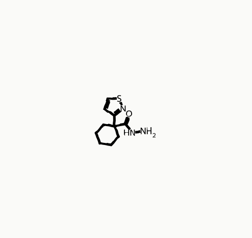 NNC(=O)C1(c2ccsn2)CCCCC1